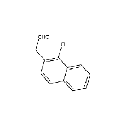 O=CCc1ccc2ccccc2c1Cl